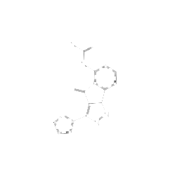 NC(=O)Nc1cccc2c1C(=O)C1=C(c3cccs3)N=NC12